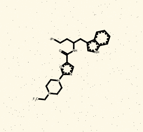 CC(C)CCC(Cc1c[nH]c2ccccc12)NC(=O)c1cnc(N2CCN(CC(F)(F)F)CC2)o1